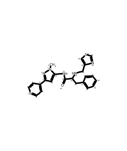 Cn1nc(-c2ccncc2)cc1NC(=O)C(Cc1ccccc1)NCc1cscn1